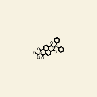 CCC(CC)N1C(=O)C2=CC=C3C(=O)N(N(c4ccccc4)c4ccccc4)C(=O)C4=CC=C(C1=O)C2C34